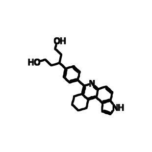 OCCC(CCO)c1ccc(-c2nc3ccc4[nH]ccc4c3c3c2CCCC3)cc1